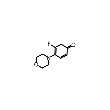 O=C1C=CC(N2CCOCC2)=C(F)C1